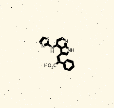 O=C(O)C(=Cc1c[nH]c2nccc(Nc3nccs3)c12)c1ccccc1